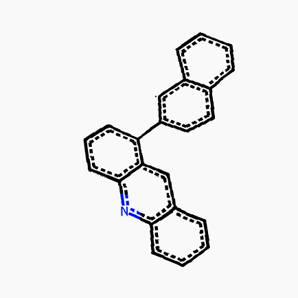 [c]1c(-c2cccc3nc4ccccc4cc23)ccc2ccccc12